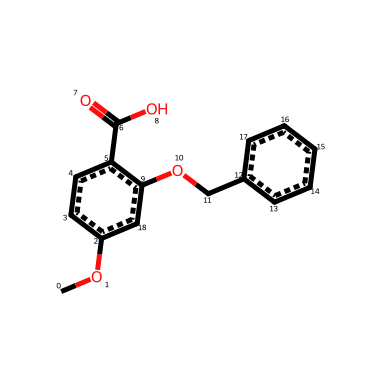 COc1ccc(C(=O)O)c(OCc2ccccc2)c1